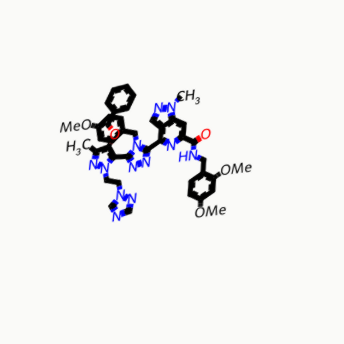 COc1ccc(Cn2c(-c3nc(C(=O)NCc4ccc(OC)cc4OC)cc4c3cnn4C)nnc2-c2c(OCc3ccccc3)c(C)nn2CCn2cncn2)cc1